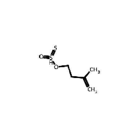 C=C(C)CCO[SH](=O)=S